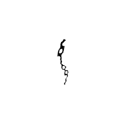 CC=CC1CCC(CCC=CC2CCC(C3CCC(CCCCC)CC3)CC2)CC1